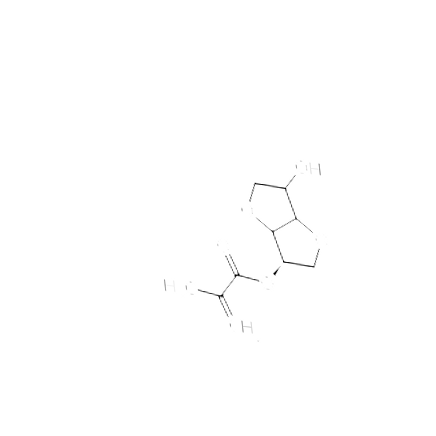 C=C(C)C(=O)O[C@@H]1COC2C(O)COC21